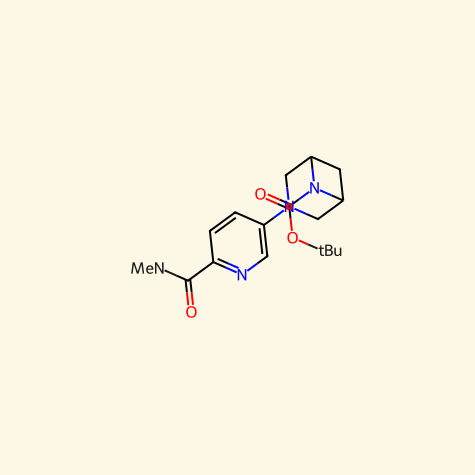 CNC(=O)c1ccc(N2CC3CC(C2)N3C(=O)OC(C)(C)C)cn1